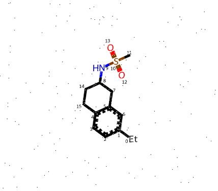 CCc1ccc2c(c1)CC(NS(C)(=O)=O)CC2